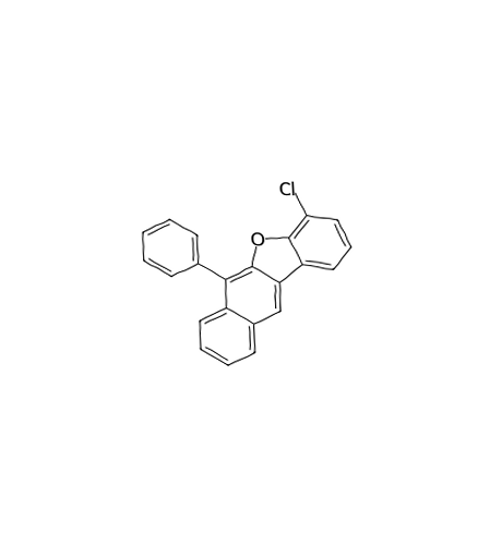 Clc1cccc2c1oc1c(-c3ccccc3)c3ccccc3cc12